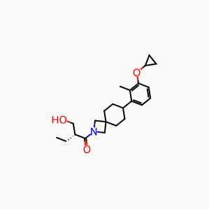 CC[C@H](CO)C(=O)N1CC2(CCC(c3cccc(OC4CC4)c3C)CC2)C1